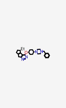 CC[C@H]1CCC2=C1c1c(ncnc1O[C@H]1CC[C@H](N3CCN(Cc4ccccc4)CC3)CC1)C2